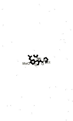 C=CC(=C)n1nc(C(=O)N2CCCC2(C)CC)c2c1-c1cc(C=C(C)C)c(OC)cc1OC2